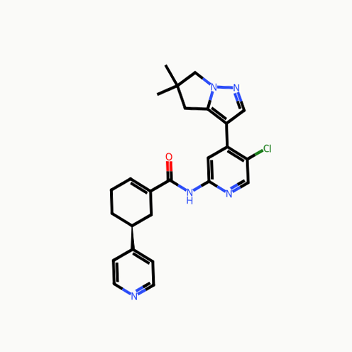 CC1(C)Cc2c(-c3cc(NC(=O)C4=CCC[C@H](c5ccncc5)C4)ncc3Cl)cnn2C1